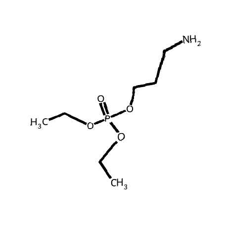 CCOP(=O)(OCC)OCCCN